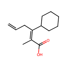 C=CCC(=C(C)C(=O)O)C1CCCCC1